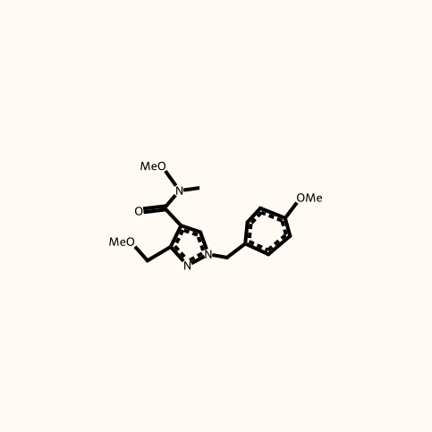 COCc1nn(Cc2ccc(OC)cc2)cc1C(=O)N(C)OC